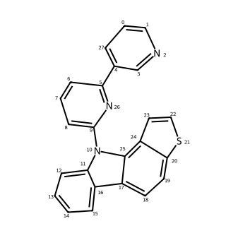 c1cncc(-c2cccc(-n3c4ccccc4c4ccc5sccc5c43)n2)c1